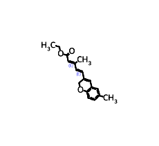 CCOC(=O)/C=C(C)/C=C/C1=Cc2cc(C)ccc2OC1